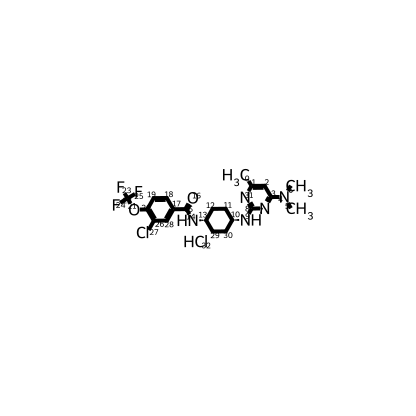 Cc1cc(N(C)C)nc(N[C@H]2CC[C@@H](NC(=O)c3ccc(OC(F)(F)F)c(Cl)c3)CC2)n1.Cl